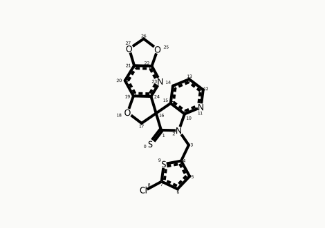 S=C1N(Cc2ccc(Cl)s2)c2ncccc2C12COc1cc3c(nc12)OCO3